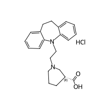 Cl.O=C(O)[C@@H]1CCCN(CCN2c3ccccc3CCc3ccccc32)C1